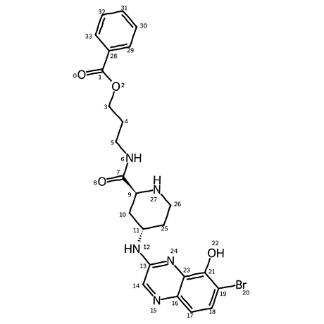 O=C(OCCCNC(=O)[C@@H]1C[C@@H](Nc2cnc3ccc(Br)c(O)c3n2)CCN1)c1ccccc1